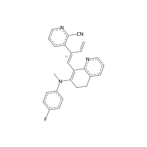 C=C/C(=C\C1=C(N(C)c2ccc(F)cc2)CCc2cccnc21)c1cccnc1C#N